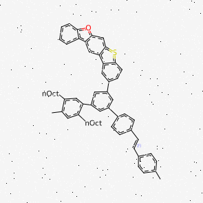 CCCCCCCCc1cc(-c2cc(-c3ccc(/C=C/c4ccc(C)cc4)cc3)cc(-c3ccc4sc5cc6oc7ccccc7c6cc5c4c3)c2)c(CCCCCCCC)cc1C